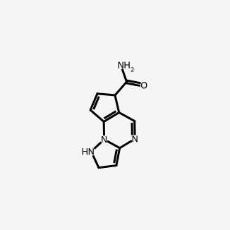 NC(=O)C1C=CC2=C1C=NC1=CCNN12